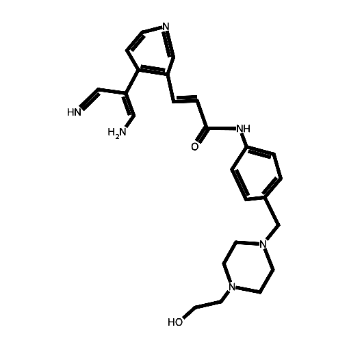 N=C/C(=C\N)c1ccncc1/C=C/C(=O)Nc1ccc(CN2CCN(CCO)CC2)cc1